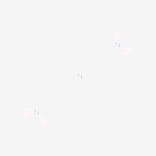 CN(Cc1ccc([N+](=O)[O-])cc1)C1Cc2ccc([N+](=O)[O-])cc2C1